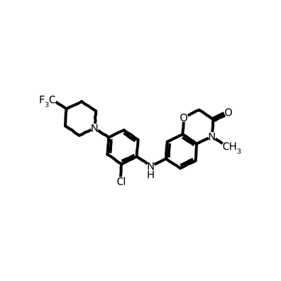 CN1C(=O)COc2cc(Nc3ccc(N4CCC(C(F)(F)F)CC4)cc3Cl)ccc21